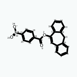 O=C(OC1=Cc2ccccc2Cc2ccccc21)c1ccc([N+](=O)[O-])cc1